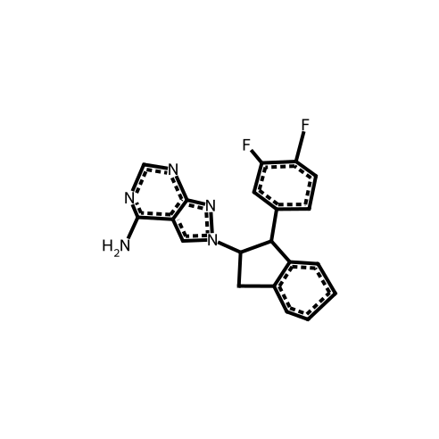 Nc1ncnc2nn(C3Cc4ccccc4C3c3ccc(F)c(F)c3)cc12